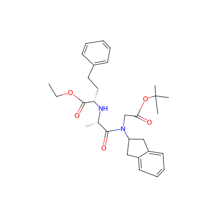 CCOC(=O)[C@H](CCc1ccccc1)N[C@@H](C)C(=O)N(CC(=O)OC(C)(C)C)C1Cc2ccccc2C1